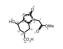 COC(=O)Cn1c2c(sc1=O)C(O)CN(C(=O)O)C2